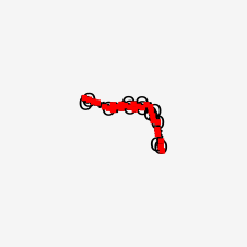 C=COC(=O)CCCCCCCCOc1ccc(OC(=O)c2cccc(OC(=O)c3ccc(OC(=O)c4ccc(-c5ccc(OCCCCCCCCOC(=O)C=C)cc5)cc4)cc3)c2)cc1